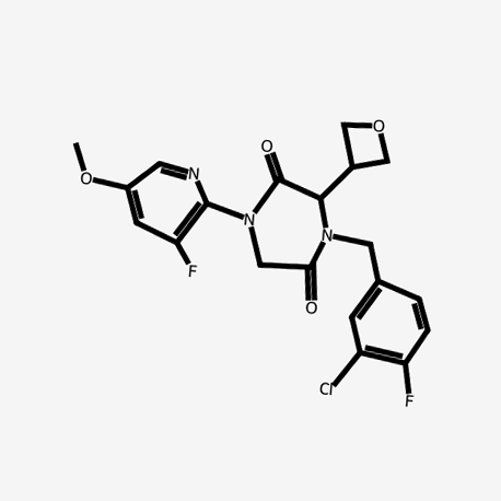 COc1cnc(N2CC(=O)N(Cc3ccc(F)c(Cl)c3)C(C3COC3)C2=O)c(F)c1